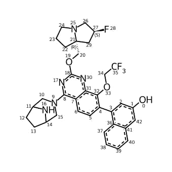 Oc1cc(-c2ccc3c(N4CC5CCC(C4)N5)nc(OC[C@]45CCCN4C[C@@H](F)C5)nc3c2OCC(F)(F)F)c2ccccc2c1